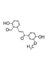 COc1cc(C(=O)C=Cc2cccc(O)c2C=O)ccc1O